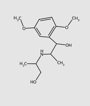 COc1ccc(OC)c(C(O)C(C)NC(C)CO)c1